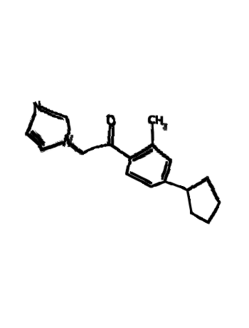 Cc1cc(C2CCCC2)ccc1C(=O)Cn1ccnc1